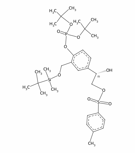 Cc1ccc(S(=O)(=O)OC[C@@H](O)c2ccc(OP(=O)(OC(C)(C)C)OC(C)(C)C)c(CO[Si](C)(C)C(C)(C)C)c2)cc1